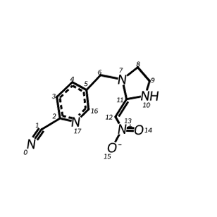 N#Cc1ccc(CN2CCNC2=C[N+](=O)[O-])cn1